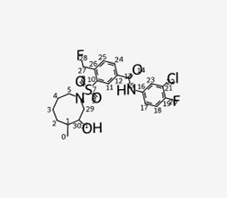 CC1CCCCN(S(=O)(=O)c2cc(C(=O)Nc3ccc(F)c(Cl)c3)ccc2CF)CC1O